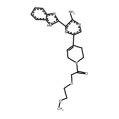 COCCOCC(=O)N1CC=C(c2cnc(N)c(-c3nc4ccccc4[nH]3)n2)CC1